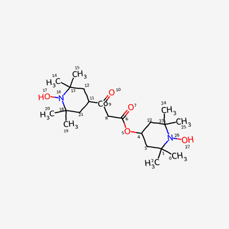 CC1(C)CC(OC(=O)[CH2][Co](=[O])[CH]2CC(C)(C)N(O)C(C)(C)C2)CC(C)(C)N1O